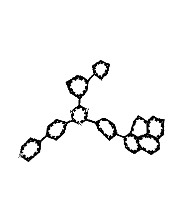 c1ccc(-c2cccc(-c3nc(-c4ccc(-c5ccncc5)cc4)nc(-c4ccc(-c5ccc6ccc7cccc8ccc5c6c78)cc4)n3)c2)cc1